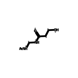 CC(=O)NCNC(=O)CCO